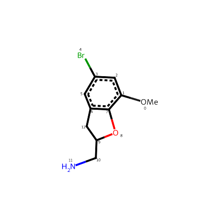 COc1cc(Br)cc2c1OC(CN)C2